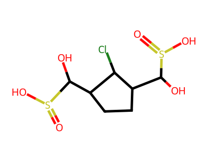 O=S(O)C(O)C1CCC(C(O)S(=O)O)C1Cl